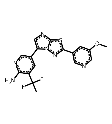 COc1cncc(-c2nn3c(-c4cnc(N)c(C(C)(F)F)c4)cnc3s2)c1